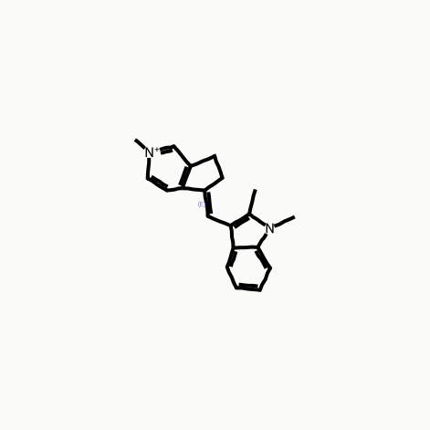 Cc1c(/C=C2\CCc3c[n+](C)ccc32)c2ccccc2n1C